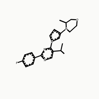 CC(C)c1cnc(-c2ccc(F)cc2)nc1-n1ccc(N2CCOCC2C)c1